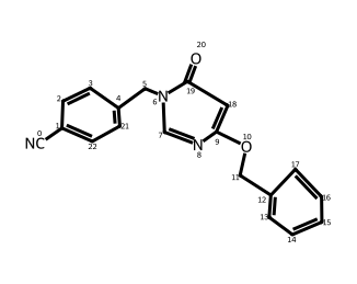 N#Cc1ccc(Cn2cnc(OCc3ccccc3)cc2=O)cc1